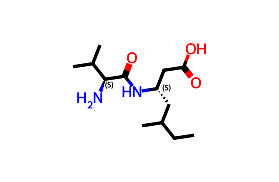 CCC(C)C[C@@H](CC(=O)O)NC(=O)[C@@H](N)C(C)C